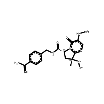 CCCNc1cnc2n(c1=O)[C@@H](C(=O)NCc1ccc(C(=N)N)cc1)C[C@@]2(C)NC(C)C